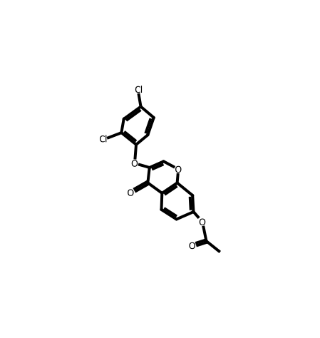 CC(=O)Oc1ccc2c(=O)c(Oc3ccc(Cl)cc3Cl)coc2c1